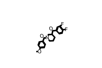 COc1ccc(C(=O)N2CCCC(C(=O)c3ccc(F)c(F)c3)C2)cc1